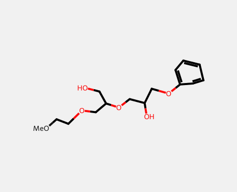 COCCOCC(CO)OCC(O)COc1ccccc1